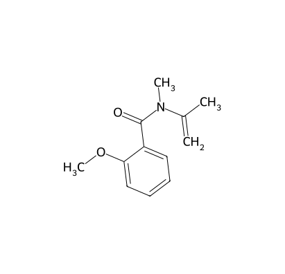 C=C(C)N(C)C(=O)c1ccccc1OC